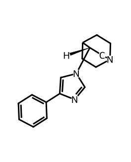 c1ccc(-c2cn([C@H]3CN4CCC3CC4)cn2)cc1